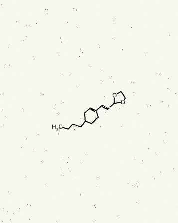 CCCCC1CC=C(C=CC2OCCO2)CC1